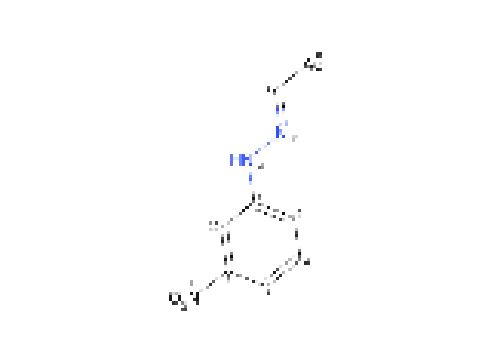 CC(=O)C=NNc1cccc([N+](=O)[O-])c1